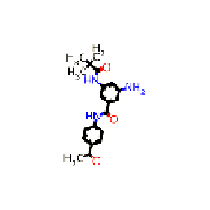 CC(=O)c1ccc(NC(=O)c2cc(N)cc(NC(=O)C(C)(C)C)c2)cc1